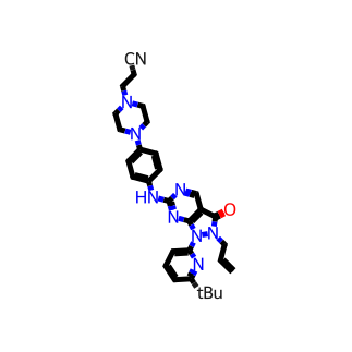 C=CCn1c(=O)c2cnc(Nc3ccc(N4CCN(CCC#N)CC4)cc3)nc2n1-c1cccc(C(C)(C)C)n1